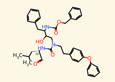 CC(C)C[C@@H]([C]=O)NC(=O)N(CCc1ccc(Oc2ccccc2)cc1)CC(O)C(Cc1ccccc1)NC(=O)OCc1ccccc1